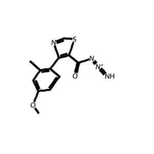 COc1ccc(-c2ncsc2C(=O)N=[N+]=N)c(C)c1